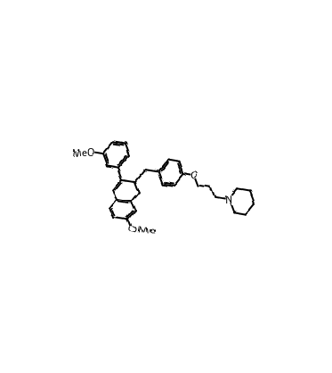 COc1cccc(C2=Cc3ccc(OC)cc3CC2Cc2ccc(OCCCN3CCCCC3)cc2)c1